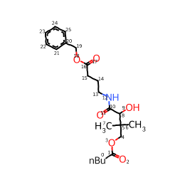 CCCCC(=O)OCC(C)(C)C(O)C(=O)NCCCC(=O)OCc1ccccc1